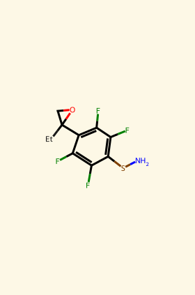 CCC1(c2c(F)c(F)c(SN)c(F)c2F)CO1